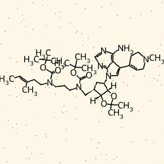 C/C=C(\C)CCN(CCCN(C[C@H]1C[C@@H](n2cc(C3=CCN(C)CC3)c3c(N)ncnc32)[C@@H]2OC(C)(C)O[C@H]12)C(=O)OC(C)(C)C)C(=O)OC(C)(C)C